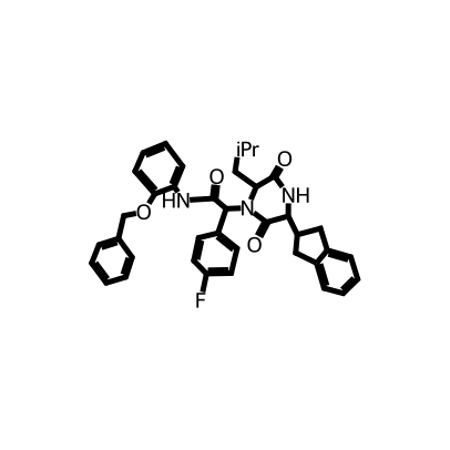 CC(C)CC1C(=O)NC(C2Cc3ccccc3C2)C(=O)N1C(C(=O)Nc1ccccc1OCc1ccccc1)c1ccc(F)cc1